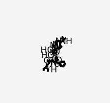 CCC(CC)COC(=O)[C@H](C)NP(=O)(OC[C@H]1O[C@@](C#N)(c2ccc3c(NC(C)C)ncnn23)[C@H](O)[C@@H]1O)Oc1ccccc1